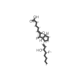 CCCC[C@@H](F)[C@H](O)/C=C/[C@H]1CC[C@H]2O/C(=C\CCCC(=O)O)C(F)[C@H]12